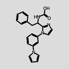 O=C(O)NC(Cc1ccccc1)c1nccn1-c1cccc(-n2cccc2)c1